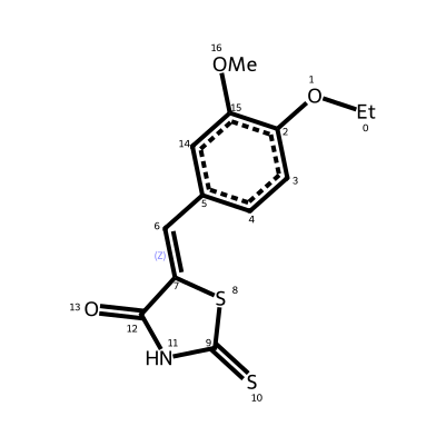 CCOc1ccc(/C=C2\SC(=S)NC2=O)cc1OC